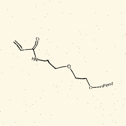 C=CC(=O)NCCOCCOCCCCC